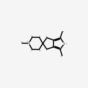 Cc1sc(C)c2c1CC1(CCN(C)CC1)C2